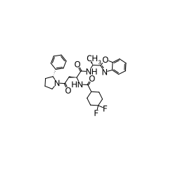 C[C@H](NC(=O)[C@H](CC(=O)N1CCC[C@@H]1c1ccccc1)NC(=O)C1CCC(F)(F)CC1)c1nc2ccccc2o1